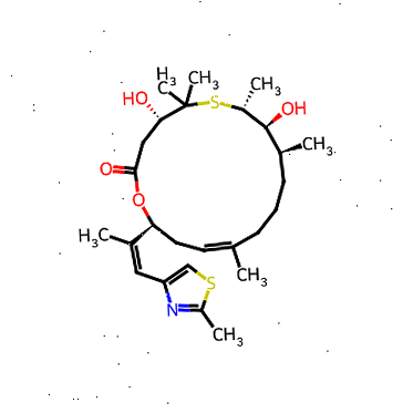 C/C1=C/C[C@@H](/C(C)=C\c2csc(C)n2)OC(=O)C[C@H](O)C(C)(C)S[C@H](C)[C@@H](O)[C@@H](C)CCC1